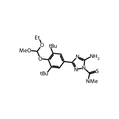 CCOC(OC)Oc1c(C(C)(C)C)cc(-c2nc(N)n(C(=S)NC)n2)cc1C(C)(C)C